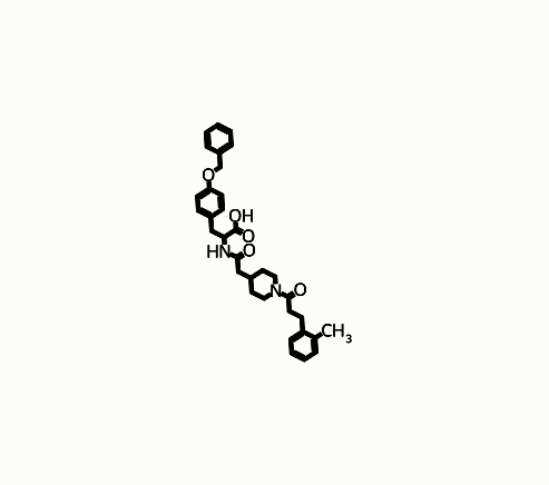 Cc1ccccc1CCC(=O)N1CCC(CC(=O)NC(Cc2ccc(OCc3ccccc3)cc2)C(=O)O)CC1